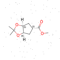 COC(=O)[C@H]1C[C@@H]2OC(C)(C)O[C@@H]2C1